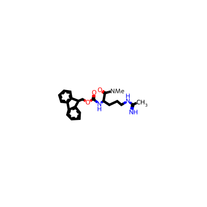 CNC(=O)C(CCCNC(C)=N)NC(=O)OCC1c2ccccc2-c2ccccc21